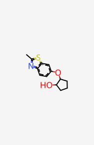 Cc1nc2ccc(OC3CCCC3O)cc2s1